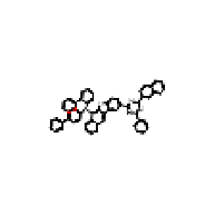 c1ccc(-c2ccc(N(c3ccccc3-c3ccccc3)c3c4ccccc4cc4c3oc3ccc(-c5nc(-c6ccccc6)nc(-c6ccc7ccccc7c6)n5)cc34)cc2)cc1